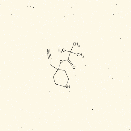 CC(C)(C)C(=O)OC1(CC#N)CCNCC1